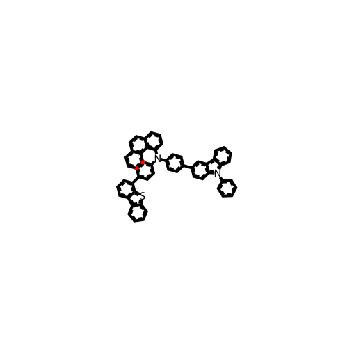 c1ccc(-n2c3ccccc3c3cc(-c4ccc(N(c5ccc(-c6cccc7c6sc6ccccc67)cc5)c5cccc6ccc7ccccc7c56)cc4)ccc32)cc1